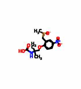 C[S+]([O-])Cc1cc([N+](=O)[O-])ccc1OCC(C)(C)NC(=O)O